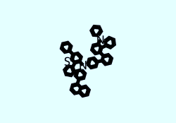 c1ccc(-c2ccc(N(c3ccc(-c4ccccc4-c4cccc5c4c4ccccc4n5-c4ccccc4)cc3)c3ccc(-c4cccc5ccccc45)cc3)c3c2sc2ccccc23)cc1